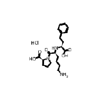 Cl.NCCCC[C@H](N[C@@H](CCc1ccccc1)C(=O)O)C(=O)N1CCC[C@H]1C(=O)O